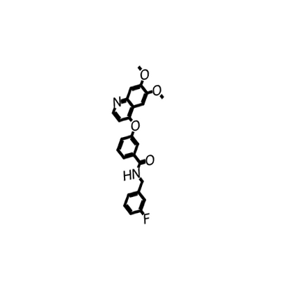 COc1cc2nccc(Oc3cccc(C(=O)NCc4cccc(F)c4)c3)c2cc1OC